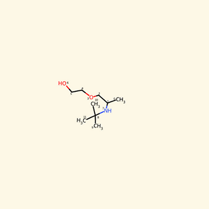 CC(COCCO)NC(C)(C)C